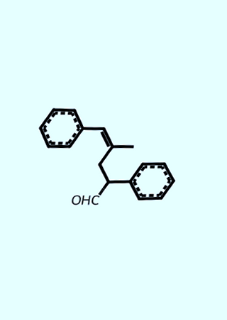 CC(=Cc1ccccc1)CC(C=O)c1ccccc1